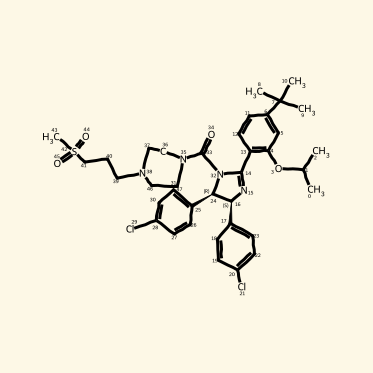 CC(C)Oc1cc(C(C)(C)C)ccc1C1=N[C@@H](c2ccc(Cl)cc2)[C@@H](c2ccc(Cl)cc2)N1C(=O)N1CCN(CCCS(C)(=O)=O)CC1